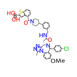 COc1ccc2c(c1)C(c1ccc(Cl)cc1)=N[C@@H](CC(=O)NCc1cccc(C3CCN(C(=O)c4cccc5sc(B(O)O)cc45)CC3)c1)c1nnc(C)n1-2